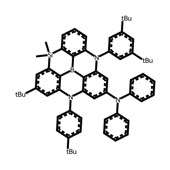 CC(C)(C)c1ccc(N2c3cc(N(c4ccccc4)c4ccccc4)cc4c3B3c5c(cccc5[Si](C)(C)c5cc(C(C)(C)C)cc2c53)N4c2cc(C(C)(C)C)cc(C(C)(C)C)c2)cc1